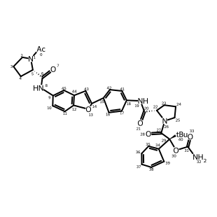 CC(=O)N1CCC[C@H]1C(=O)Nc1ccc2oc(-c3ccc(NC(=O)[C@@H]4CCCN4C(=O)[C@](OC(N)=O)(c4ccccc4)C(C)(C)C)cc3)cc2c1